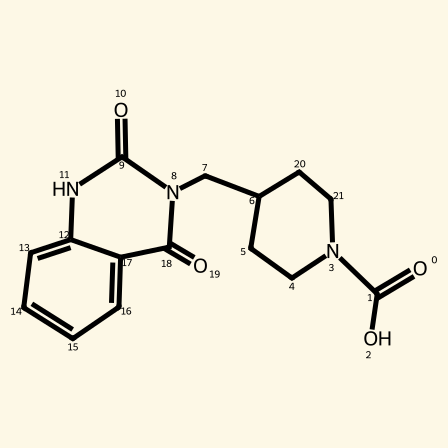 O=C(O)N1CCC(Cn2c(=O)[nH]c3ccccc3c2=O)CC1